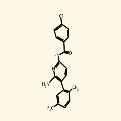 Nc1nc(NC(=O)c2ccc(Cl)cc2)ccc1-c1cc(C(F)(F)F)ccc1C(F)(F)F